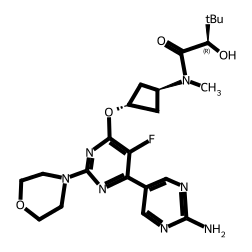 CN(C(=O)[C@H](O)C(C)(C)C)[C@H]1C[C@H](Oc2nc(N3CCOCC3)nc(-c3cnc(N)nc3)c2F)C1